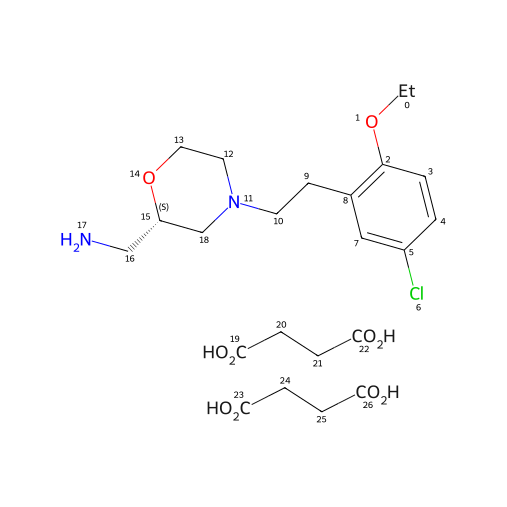 CCOc1ccc(Cl)cc1CCN1CCO[C@@H](CN)C1.O=C(O)CCC(=O)O.O=C(O)CCC(=O)O